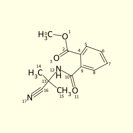 COC(=O)c1ccccc1C(=O)NC(C)(C)C#N